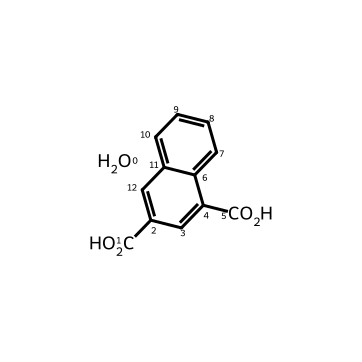 O.O=C(O)c1cc(C(=O)O)c2ccccc2c1